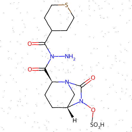 NN(C(=O)C1CCSCC1)C(=O)[C@@H]1CC[C@@H]2CN1C(=O)N2OS(=O)(=O)O